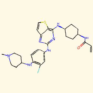 C=CC(=O)N[C@H]1CC[C@@H](Nc2nc(Nc3ccc(NC4CCN(C)CC4)c(F)c3)nc3ccsc23)CC1